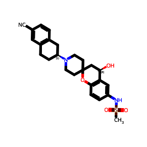 CS(=O)(=O)Nc1ccc2c(c1)[C@H](O)CC1(CCN([C@H]3CCc4cc(C#N)ccc4C3)CC1)O2